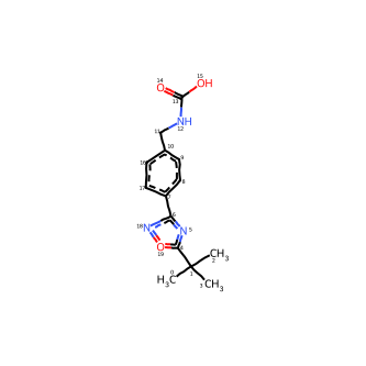 CC(C)(C)c1nc(-c2ccc(CNC(=O)O)cc2)no1